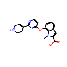 Cn1c(C(=O)O)cc2cccc(Oc3ccnc(C4=CCNCC4)n3)c21